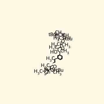 C/C(=C\C[C@H](O[Si](C)(C)C(C)(C)C)/C(C)=C/c1csc(C)n1)c1cccc([C@H](C)[C@H](O)[C@@H](C)C(=O)C(C)(C)[C@H](CCO[Si](C)(C)C(C)(C)C)O[Si](C)(C)C(C)(C)C)c1